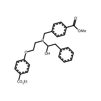 CCOC(=O)c1ccc(OCCN(Cc2ccc(C(=O)OC)cc2)C(O)Cc2ccccc2)cc1